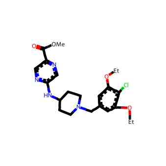 CCOc1cc(CN2CCC(Nc3cnc(C(=O)OC)cn3)CC2)cc(OCC)c1Cl